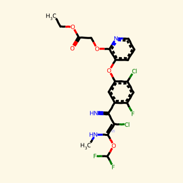 CCOC(=O)COc1ncccc1Oc1cc(C(=N)/C(Cl)=C(\NC)OC(F)F)c(F)cc1Cl